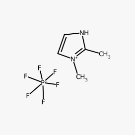 Cc1[nH]cc[n+]1C.F[P-](F)(F)(F)(F)F